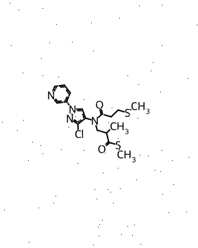 CSCCC(=O)N(CC(C)C(=O)SC)c1cn(-c2cccnc2)nc1Cl